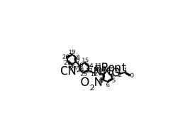 C=CCOc1ccc([N+](=O)[O-])c(N(CCCCC)Cc2ccc(-c3ccccc3C#N)cc2)n1